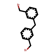 BrCc1cccc(Cc2cccc(CBr)c2)c1